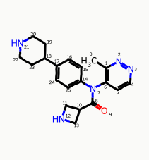 Cc1nnccc1N(C(=O)C1CNC1)c1ccc(C2CCNCC2)cc1